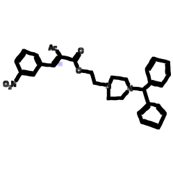 CC(=O)/C(=C\c1cccc([N+](=O)[O-])c1)C(=O)OCCN1CCN(C(c2ccccc2)c2ccccc2)CC1